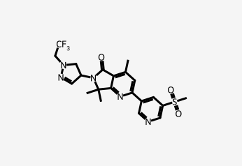 Cc1cc(-c2cncc(S(C)(=O)=O)c2)nc2c1C(=O)N(C1C=NN(CC(F)(F)F)C1)C2(C)C